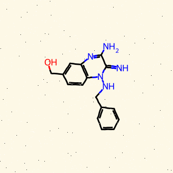 N=c1c(N)nc2cc(CO)ccc2n1NCc1ccccc1